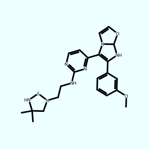 COc1cccc(C2=C(c3ccnc(NCCN4CC(C)(C)NS4)n3)N3C=COC3N2)c1